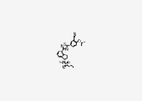 CCCS(=O)(=O)N[C@H]1CCc2c(-c3nsc(-c4ccc(OC(C)C)c(C#N)c4)n3)cccc21